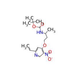 C=Cc1cc(OCCC(C)NC(=O)OC(C)(C)C)c([N+](=O)[O-])cn1